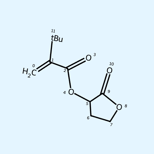 C=C(C(=O)OC1CCOC1=O)C(C)(C)C